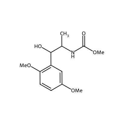 COC(=O)NC(C)C(O)c1cc(OC)ccc1OC